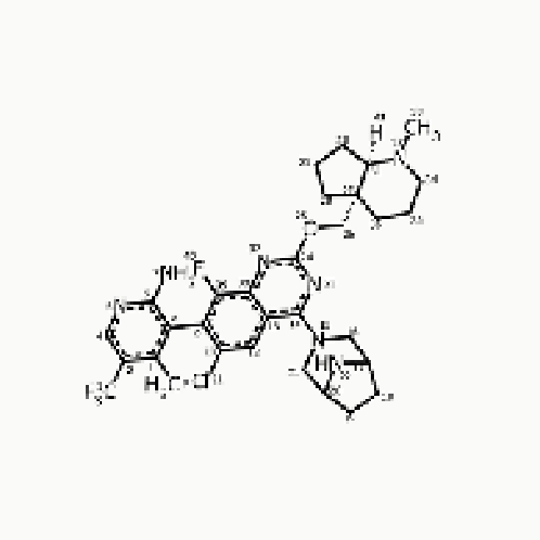 Cc1c(C(F)(F)F)cnc(N)c1-c1c(Cl)cc2c(N3CC4CCC(C3)N4)nc(OC[C@]34CCC[C@H]3N(C)CCC4)nc2c1F